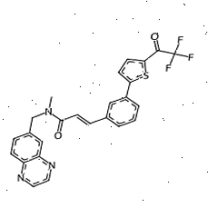 CN(Cc1ccc2nccnc2c1)C(=O)/C=C/c1cccc(-c2ccc(C(=O)C(F)(F)F)s2)c1